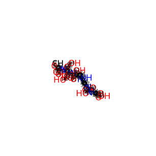 COc1ccc(/N=N/c2cc(OCCO)c(/N=N/c3c(S(=O)(=O)O)cc4c(ccc5[nH]c(-c6ccc(/N=N/C7C(=O)N(c8ccc(S(=O)(=O)O)cc8)N=C7C(=O)O)cc6)nc54)c3O)cc2OCCO)c(S(=O)(=O)O)c1